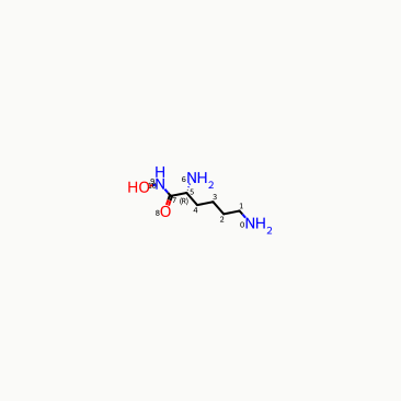 NCCCC[C@@H](N)C(=O)NO